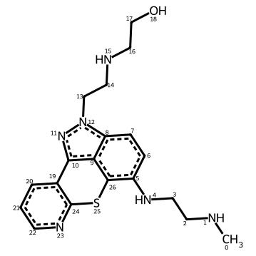 CNCCNc1ccc2c3c(nn2CCNCCO)-c2cccnc2Sc13